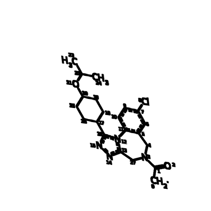 [CH2]C(=O)N1Cc2cc(Cl)ccc2-n2c(nnc2C2CCC(OC(C)C)CC2)C1